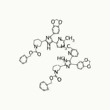 Cc1cccc(-c2[nH]c(C3CCCN(C(=O)OCc4ccccc4)C3)nc2-c2ccc3c(c2)OCO3)n1.Cc1cccc(-c2c(-c3ccc4c(c3)OCO4)nc(C3CCCN(C(=O)OCc4ccccc4)C3)n2O)n1